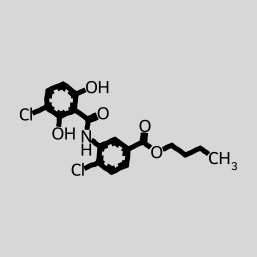 CCCCOC(=O)c1ccc(Cl)c(NC(=O)c2c(O)ccc(Cl)c2O)c1